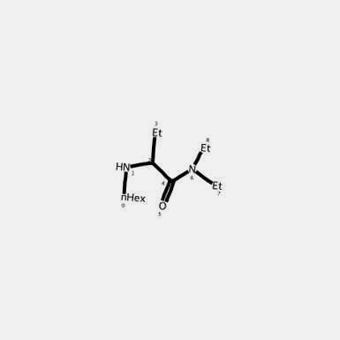 CCCCCCNC(CC)C(=O)N(CC)CC